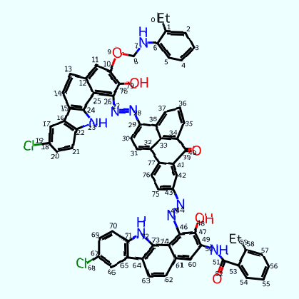 CCc1ccccc1NCOc1cc2ccc3c4cc(Cl)ccc4[nH]c3c2c(N=Nc2ccc3c4c(cccc24)C(=O)c2cc(N=Nc4c(O)c(NC(=O)c5ccccc5CC)cc5ccc6c7cc(Cl)ccc7[nH]c6c45)ccc2-3)c1O